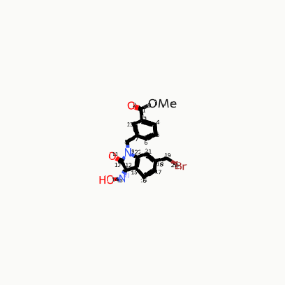 COC(=O)c1cccc(CN2C(=O)/C(=N\O)c3ccc(CBr)cc32)c1